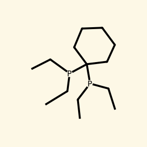 CCP(CC)C1(P(CC)CC)CCCCC1